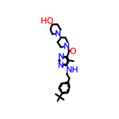 Cc1c(NCCc2ccc(C(C)(C)C)cc2)ncnc1C(=O)N1CCC(N2CCC(O)CC2)CC1